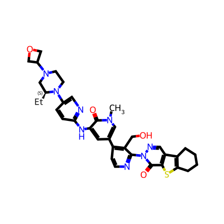 CC[C@H]1CN(C2COC2)CCN1c1ccc(Nc2cc(-c3ccnc(-n4ncc5c6c(sc5c4=O)CCCC6)c3CO)cn(C)c2=O)nc1